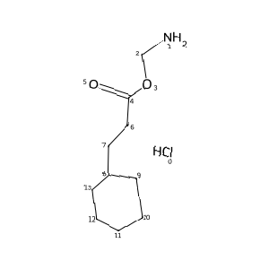 Cl.NCOC(=O)CCC1CCCCC1